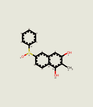 Cc1c(O)cc2cc([S+]([O-])c3ccccc3)ccc2c1O